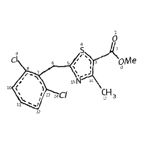 COC(=O)c1sc(Cc2c(Cl)cccc2Cl)nc1C